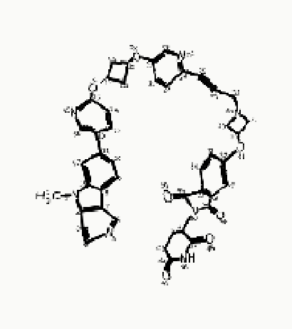 Cn1c2ccncc2c2ccc(-c3ccc(O[C@H]4C[C@H](Oc5ccc(C#CCN6CC(Oc7ccc8c(c7)C(=O)N(C7CCC(=O)NC7=O)C8=O)C6)nc5)C4)nc3)cc21